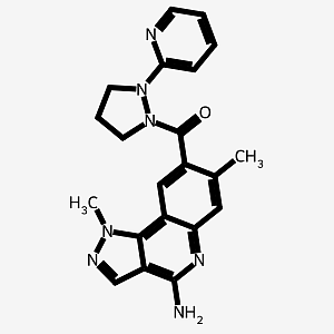 Cc1cc2nc(N)c3cnn(C)c3c2cc1C(=O)N1CCCN1c1ccccn1